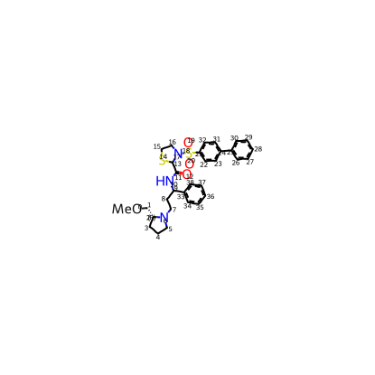 COC[C@H]1CCCN1CCC(NC(=O)C1SCCN1S(=O)(=O)c1ccc(-c2ccccc2)cc1)c1ccccc1